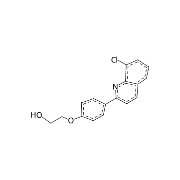 OCCOc1ccc(-c2ccc3cccc(Cl)c3n2)cc1